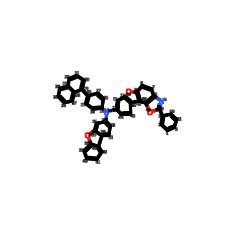 c1ccc(-c2nc3ccc4oc5cc(N(c6ccc(-c7cccc8ccccc78)cc6)c6ccc7c(c6)oc6ccccc67)ccc5c4c3o2)cc1